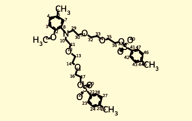 COc1ccc(C)cc1N(CCOCCOCCOS(=O)(=O)c1ccc(C)cc1)CCOCCOCCOS(=O)(=O)c1ccc(C)cc1